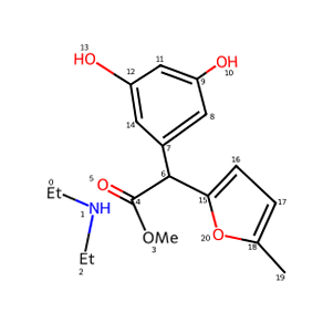 CCNCC.COC(=O)C(c1cc(O)cc(O)c1)c1ccc(C)o1